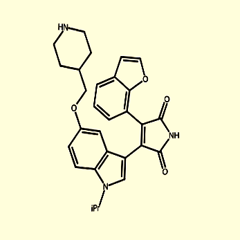 CC(C)n1cc(C2=C(c3cccc4ccoc34)C(=O)NC2=O)c2cc(OCC3CCNCC3)ccc21